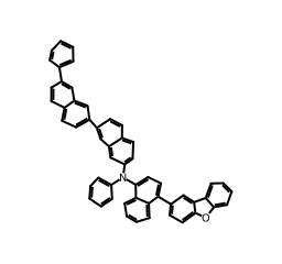 c1ccc(-c2ccc3ccc(-c4ccc5ccc(N(c6ccccc6)c6ccc(-c7ccc8oc9ccccc9c8c7)c7ccccc67)cc5c4)cc3c2)cc1